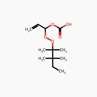 C=CC(OOC(C)(C)C(C)(C)CC)OC(=O)O